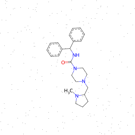 CN1CCCC1CN1CCN(C(=O)NC(c2ccccc2)c2ccccc2)CC1